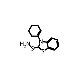 NSC1Sc2ccccc2N1C1=CCCCC1